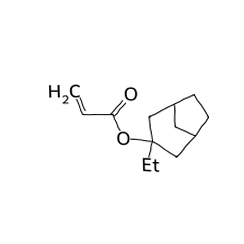 C=CC(=O)OC1(CC)CC2CCC(C2)C1